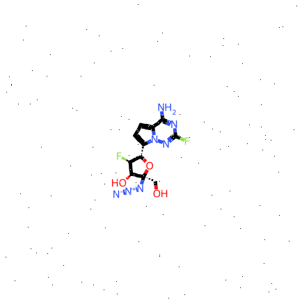 [N-]=[N+]=N[C@]1(CO)O[C@@H](c2ccc3c(N)nc(F)nn23)[C@H](F)[C@@H]1O